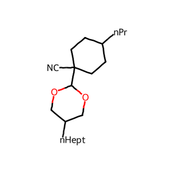 CCCCCCCC1COC(C2(C#N)CCC(CCC)CC2)OC1